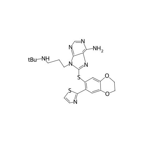 CC(C)(C)NCCCn1c(Sc2cc3c(cc2-c2nccs2)OCCO3)nc2c(N)ncnc21